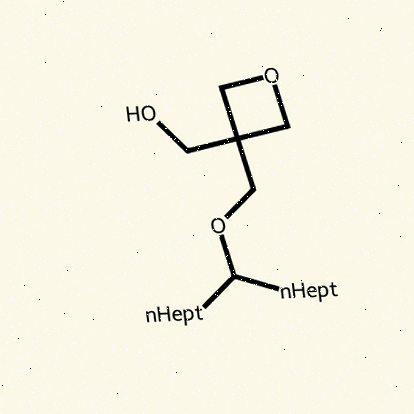 CCCCCCCC(CCCCCCC)OCC1(CO)COC1